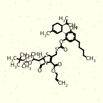 C=CCOC(=O)C1=C(CSC(=O)Oc2cc(CCCCC)cc(O)c2[C@@H]2C=C(C)CC[C@H]2C(=C)C)S[C@@H]2[C@@H]([C@@H](C)O[Si](C)(C)C(C)(C)C)C(=O)N12